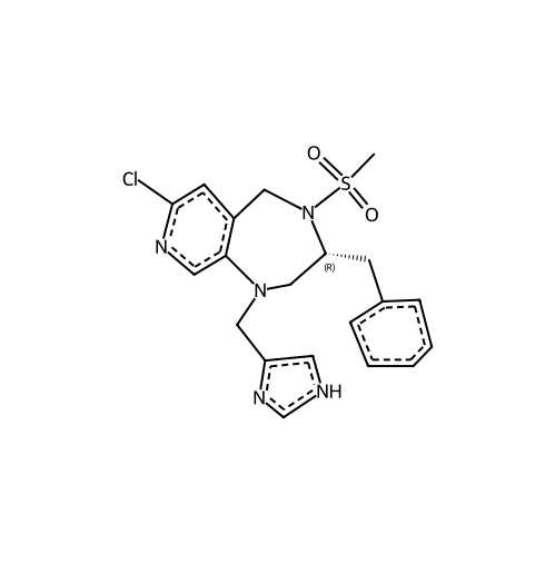 CS(=O)(=O)N1Cc2cc(Cl)ncc2N(Cc2c[nH]cn2)C[C@H]1Cc1ccccc1